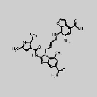 CCn1nc(C)cc1C(=O)Nc1nc2cc(C(N)=O)cc(C)c2n1C/C=C/CNc1c(N)cc(C(N)=O)c2ccoc12